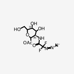 CC(=O)OC1OC(CO)[C@@H](O)C(O)[C@H]1NC(=O)C(F)(F)N=[N+]=[N-]